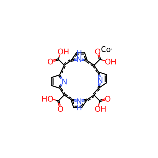 O=C(O)c1c2nc(c(C(=O)O)c3ccc([nH]3)c(C(=O)O)c3nc(c(C(=O)O)c4ccc1[nH]4)C=C3)C=C2.[Co]